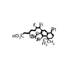 CCOc1c(\C(CC)=C(F)/C=C/C(C)=C/C(=O)O)cc2c(c1Br)C(C)(C)CC=C2C(C)C